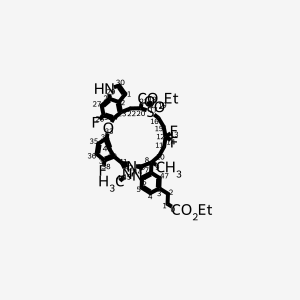 CCOC(=O)CCc1cccc(C2(C)CCC(F)(F)CCS(=O)(=O)C(C(=O)OCC)Cc3c(c(F)cc4[nH]ccc34)Oc3ccc(F)c(c3)-c3nc2nn3C)c1